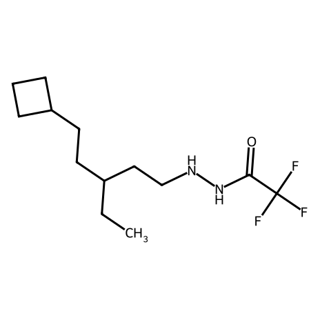 CCC(CCNNC(=O)C(F)(F)F)CCC1CCC1